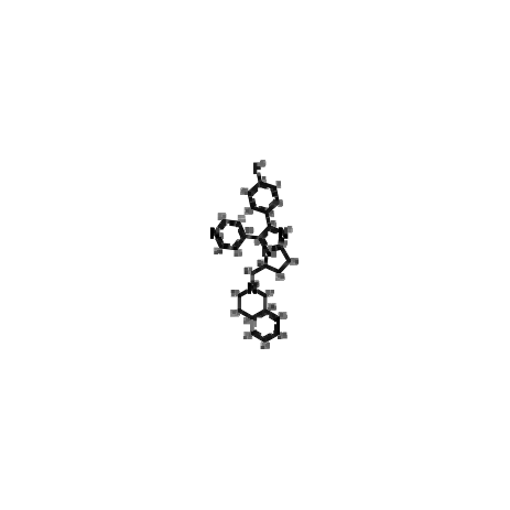 Fc1ccc(-c2nc3n(c2-c2ccncc2)C(CN2CCc4ccccc4C2)CC3)cc1